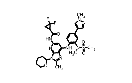 Cc1nc2c(Nc3ccc(-c4cnn(C)c4)cc3N(C)S(C)(=O)=O)cc(NC(=O)C3CC3(F)F)nc2n1C1CCCCO1